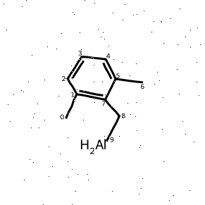 Cc1cccc(C)c1[CH2][AlH2]